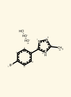 Cl.[B+2]c1ccc(-c2nnc(C)[nH]2)cc1.[OH-].[OH-]